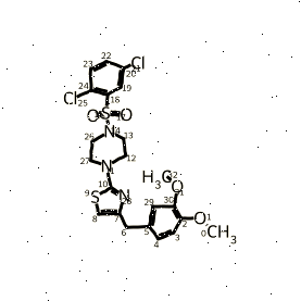 COc1ccc(Cc2csc(N3CCN(S(=O)(=O)c4cc(Cl)ccc4Cl)CC3)n2)cc1OC